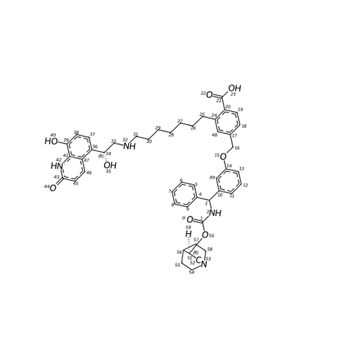 O=C(NC(c1ccccc1)c1cccc(OCc2ccc(C(=O)O)c(CCCCCCCNC[C@H](O)c3ccc(O)c4[nH]c(=O)ccc34)c2)c1)O[C@H]1CN2CCC1CC2